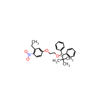 CCc1cc(OCCO[Si](c2ccccc2)(c2ccccc2)C(C)(C)C)ccc1[N+](=O)[O-]